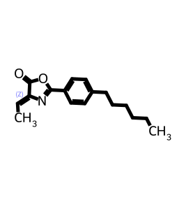 C/C=C1\N=C(c2ccc(CCCCCC)cc2)OC1=O